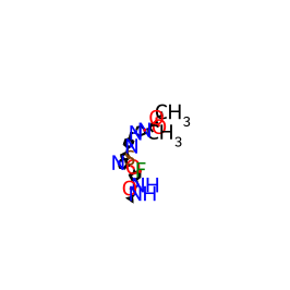 CCOC(=O)CC(C)N1CCN(Cc2ccc(-c3cc4nccc(Oc5ccc(NC(=O)NC6CC6)cc5F)c4s3)nc2)CC1